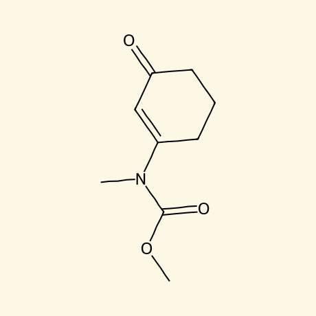 COC(=O)N(C)C1=CC(=O)CCC1